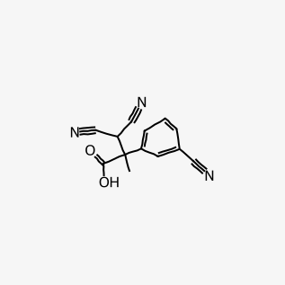 CC(C(=O)O)(c1cccc(C#N)c1)C(C#N)C#N